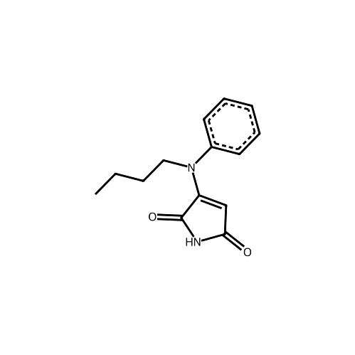 CCCCN(C1=CC(=O)NC1=O)c1ccccc1